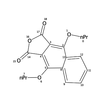 CCCOc1c2c(c(OCCC)c3ccccc13)C(=O)OC2=O